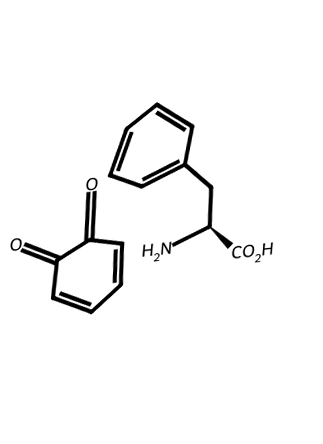 N[C@@H](Cc1ccccc1)C(=O)O.O=C1C=CC=CC1=O